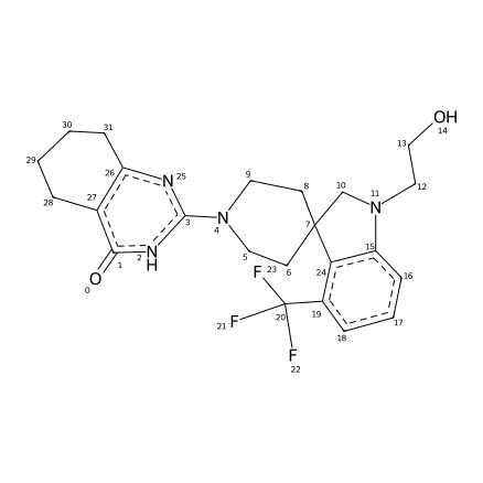 O=c1[nH]c(N2CCC3(CC2)CN(CCO)c2cccc(C(F)(F)F)c23)nc2c1CCCC2